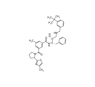 Cc1cc(C(=O)N[C@@H](Cc2ccccc2)[C@H](O)CNCc2cccc(C(C)(C)C)c2)cc(C(=O)N2CCCC2c2nc(C)cs2)c1